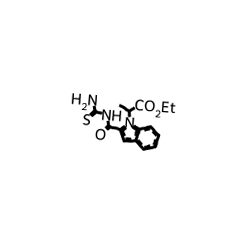 CCOC(=O)C(C)n1c(C(=O)NC(N)=S)cc2ccccc21